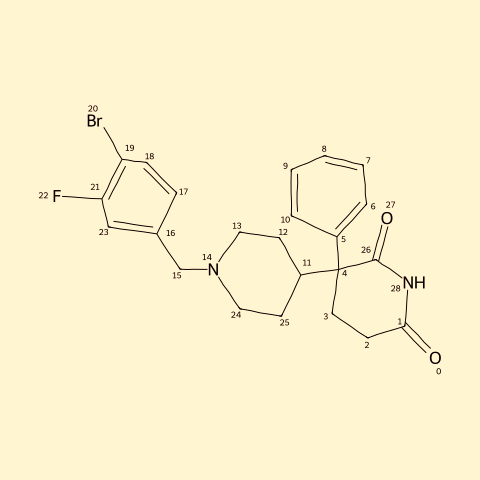 O=C1CCC(c2ccccc2)(C2CCN(Cc3ccc(Br)c(F)c3)CC2)C(=O)N1